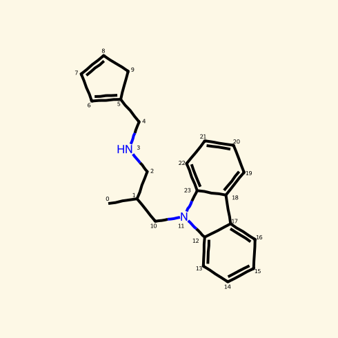 CC(CNCC1=CC=CC1)Cn1c2ccccc2c2ccccc21